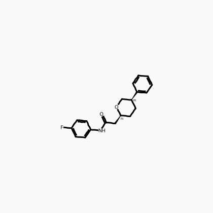 O=C(C[C@@H]1CC[C@H](c2ccccc2)CO1)Nc1ccc(F)cc1